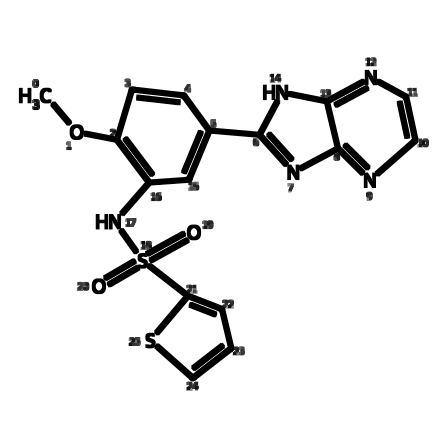 COc1ccc(-c2nc3nccnc3[nH]2)cc1NS(=O)(=O)c1cccs1